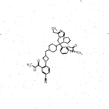 CCc1nccn1C[C@@](c1cccc(F)c1)(C1CCN(CC2CN(c3ccc(C#N)cc3C(=O)NC)C2)CC1)[C@H]1CCC[C@@H]1OC(=O)NC